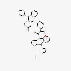 C=Cc1oc2ccc(-c3c4ccccc4c(-c4ccccc4)c4ccccc34)cc2c1/C(=C\C)c1c2ccccc2c(-c2ccc(C)o2)c2ccccc12